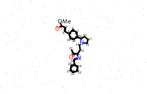 COC(=O)C=Cc1ccc(C2CCCN2CCc2nc(-c3ccccc3)oc2C)cc1